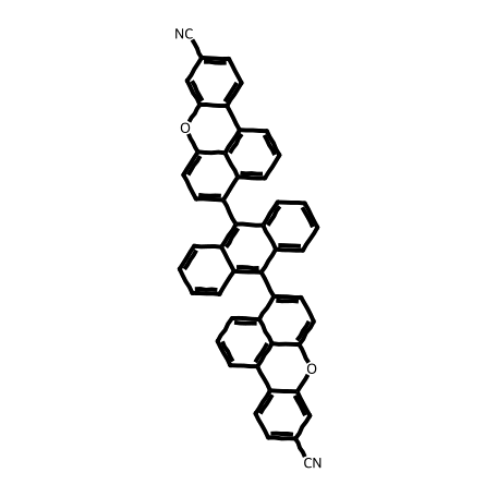 N#Cc1ccc2c(c1)Oc1ccc(-c3c4ccccc4c(-c4ccc5c6c(cccc46)-c4ccc(C#N)cc4O5)c4ccccc34)c3cccc-2c13